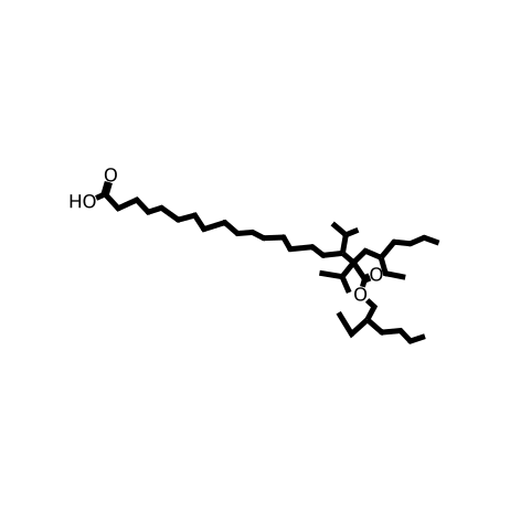 CCCCC(CC)COC(=O)C(CC(CC)CCCC)(C(C)C)C(CCCCCCCCCCCCCCCC(=O)O)C(C)C